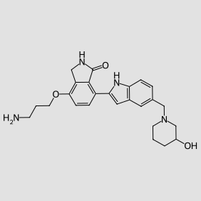 NCCCOc1ccc(-c2cc3cc(CN4CCCC(O)C4)ccc3[nH]2)c2c1CNC2=O